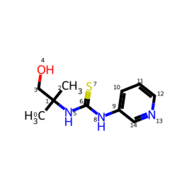 CC(C)(CO)NC(=S)Nc1cccnc1